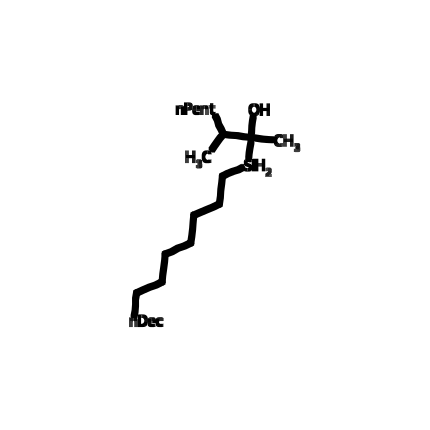 CCCCCCCCCCCCCCCCC[SiH2]C(C)(O)C(C)CCCCC